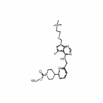 CC(C)(C)OC(=O)N1CCC(c2cccc(CNc3ncnc4c3c(Br)cn4COCC[Si](C)(C)C)n2)CC1